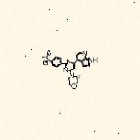 C[C@@H]1COCCN1c1cc(-c2ccnc3[nH]ccc23)nc(-c2ccc(S(C)(=O)=O)cc2)n1